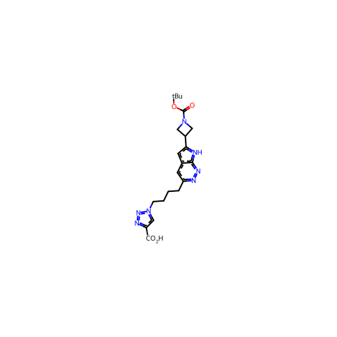 CC(C)(C)OC(=O)N1CC(c2cc3cc(CCCCn4cc(C(=O)O)nn4)nnc3[nH]2)C1